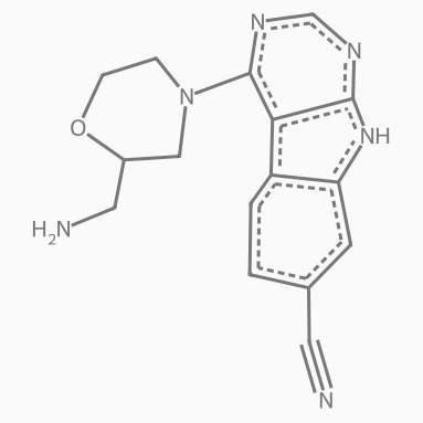 N#Cc1ccc2c(c1)[nH]c1ncnc(N3CCOC(CN)C3)c12